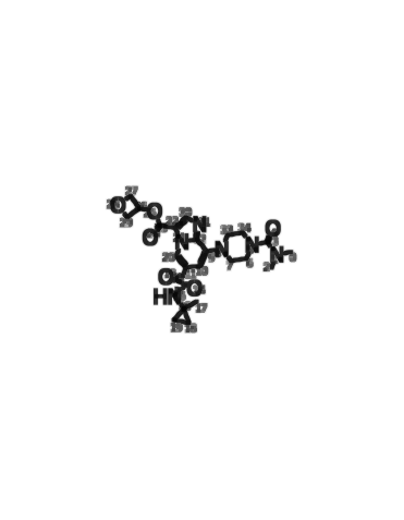 CN(C)C(=O)N1CCN(c2cc(S(=O)(=O)NC3(C)CC3)cn3c(C(=O)OC4COC4)cnc23)CC1